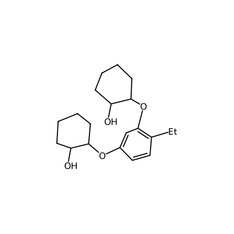 CCc1ccc(OC2CCCCC2O)cc1OC1CCCCC1O